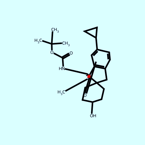 CN1C(=O)C2(N=C1NC(=O)OC(C)(C)C)c1cc(C3CC3)ccc1CC21CCC(O)CC1